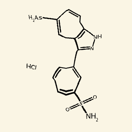 Cl.NS(=O)(=O)c1cccc(-c2n[nH]c3ccc([AsH2])cc23)c1